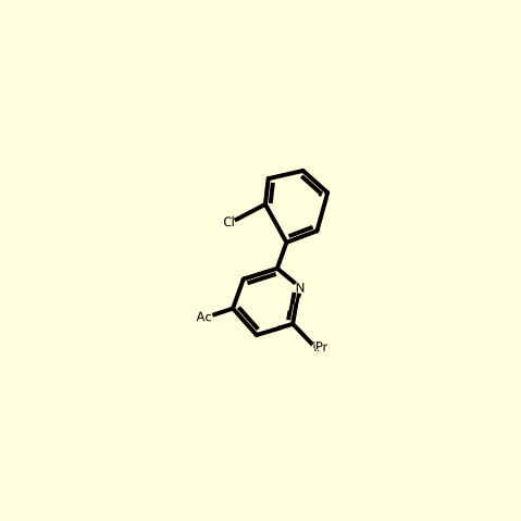 CC(=O)c1cc(-c2ccccc2Cl)nc(C(C)C)c1